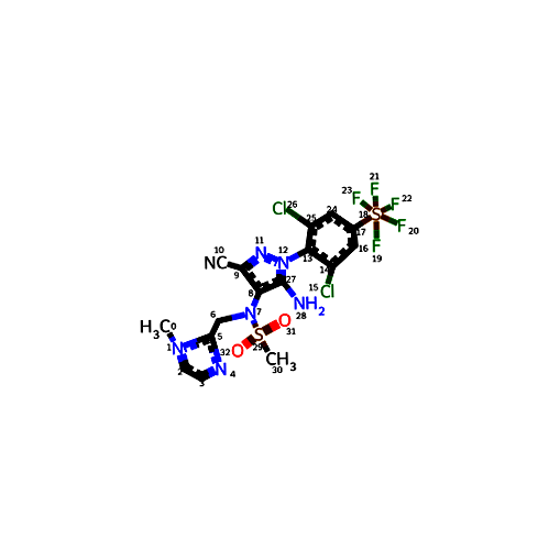 Cn1ccnc1CN(c1c(C#N)nn(-c2c(Cl)cc(S(F)(F)(F)(F)F)cc2Cl)c1N)S(C)(=O)=O